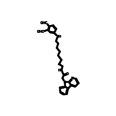 O=Cc1ccc(NCCCCCCCCNC(=O)Cn2c3ccccc3c3cccnc32)cc1C=O